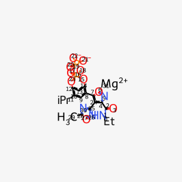 CCNC(=O)c1noc(-c2cc(C(C)C)c3cc2OP(=O)(OP(=O)([O-])[O-])O3)c1-c1noc(C)n1.[Mg+2]